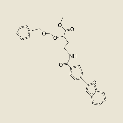 COC(=O)C(CCNC(=O)c1ccc(-c2cc3ccccc3o2)cc1)OCOCc1ccccc1